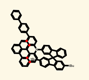 CC(C)(C)c1ccc2c(c1)C1(c3ccccc3-c3ccc(N(c4ccc(-c5ccc(-c6ccccc6)cc5)cc4)c4ccccc4-c4cccc5cccc(-c6ccccc6)c45)cc31)c1cc(C(C)(C)C)ccc1-2